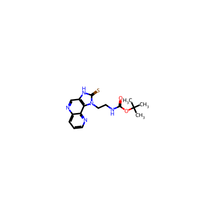 CC(C)(C)OC(=O)NCCn1c(=S)[nH]c2cnc3cccnc3c21